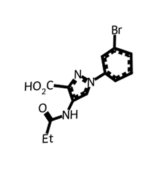 CCC(=O)Nc1cn(-c2cccc(Br)c2)nc1C(=O)O